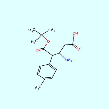 Cc1ccc(C(C(=O)OC(C)(C)C)C(N)CC(=O)O)cc1